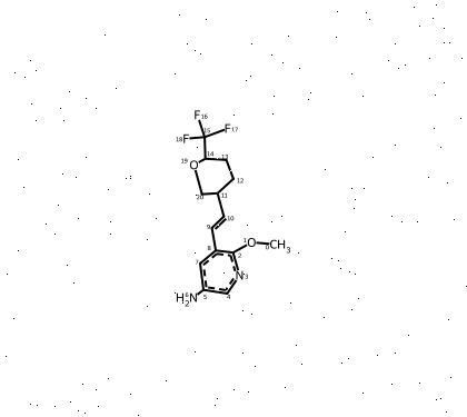 COc1ncc(N)cc1/C=C/C1CCC(C(F)(F)F)OC1